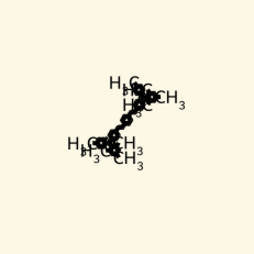 Cc1ccc(N(c2ccc(C=Cc3ccc(C=Cc4ccc(N(c5ccc(C)cc5)c5c(C)cc(C)cc5C)cc4)cc3)cc2)c2c(C)cc(C)cc2C)cc1